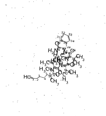 C#CCCCC[C@@H](C)C(=O)N(C)[C@H](C(=O)N(C)[C@H](C(=O)N(C)[C@H](C(=O)N(C)[C@@H](Cc1ccccc1)C(N)=O)C(C)C)C(C)C)C(C)C